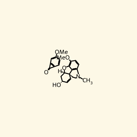 COc1ccc2c(=O)c2c1.COc1ccc2c3c1O[C@H]1C[C@@H](O)C=C[C@@]31CCN(C)C2